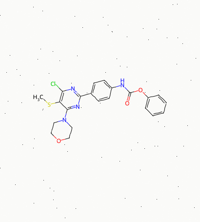 CSc1c(Cl)nc(-c2ccc(NC(=O)Oc3ccccc3)cc2)nc1N1CCOCC1